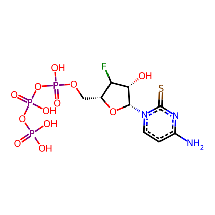 Nc1ccn([C@@H]2O[C@H](COP(=O)(O)OP(=O)(O)OP(=O)(O)O)C(F)[C@@H]2O)c(=S)n1